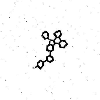 Brc1ccc(-c2cccc(-c3ccc4c(c3)c3c5ccccc5c5ccccc5c3n4-c3ccccc3)c2)cc1